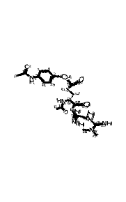 CC(=O)Nc1ccc(OC(=O)SC[C@@H](NC(C)=O)C(=O)NC(=N)NC(=N)N(C)C)cc1